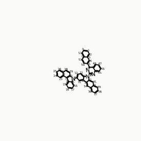 c1ccc2cc(-c3nc(-n4c5ccc(-n6c7ccccc7c7c8ccccc8ccc76)cc5c5cc6ccccc6cc54)nc4ccccc34)ccc2c1